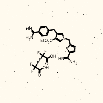 CCOC(=O)c1cn(Cc2ccc(C(=N)N)s2)cc1Cc1ccc(C(=N)N)cc1.O=C(O)C(F)(F)F.O=C(O)C(F)(F)F